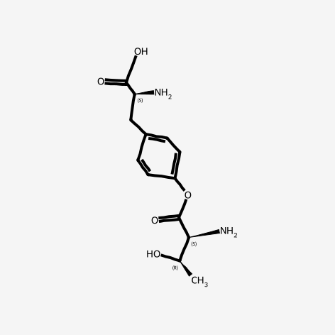 C[C@@H](O)[C@H](N)C(=O)Oc1ccc(C[C@H](N)C(=O)O)cc1